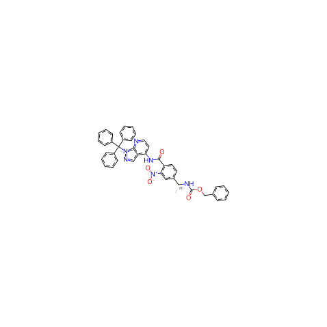 C[C@@H](NC(=O)OCc1ccccc1)c1ccc(C(=O)Nc2ccnc3c2cnn3C(c2ccccc2)(c2ccccc2)c2ccccc2)c([N+](=O)[O-])c1